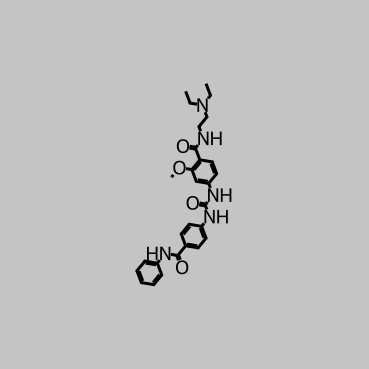 CCN(CC)CCNC(=O)c1ccc(NC(=O)Nc2ccc(C(=O)Nc3ccccc3)cc2)cc1OC